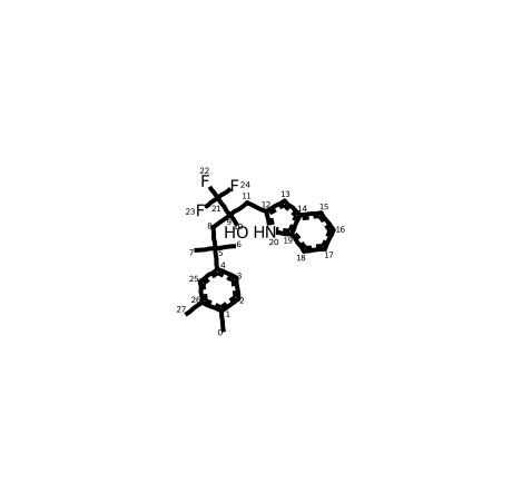 Cc1ccc(C(C)(C)CC(O)(Cc2cc3ccccc3[nH]2)C(F)(F)F)cc1C